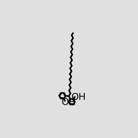 CCCCCCCCCCCCCCCCCCCCCCCC(c1ccccc1O)c1ccccc1O